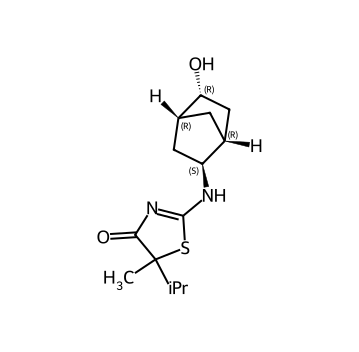 CC(C)C1(C)SC(N[C@H]2C[C@H]3C[C@@H]2C[C@H]3O)=NC1=O